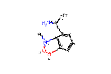 CCCC(N)c1cccc2c1N(C)OO2